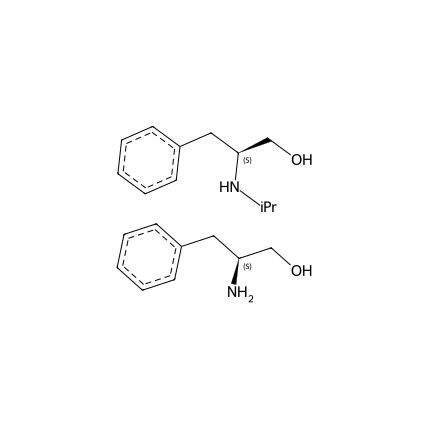 CC(C)N[C@H](CO)Cc1ccccc1.N[C@H](CO)Cc1ccccc1